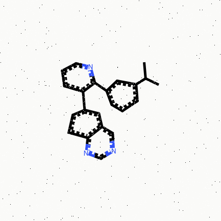 CC(C)c1cccc(-c2ncccc2-c2ccc3ncncc3c2)c1